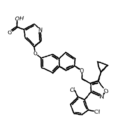 O=C(O)c1cncc(Oc2ccc3cc(OCc4c(-c5c(Cl)cccc5Cl)noc4C4CC4)ccc3c2)c1